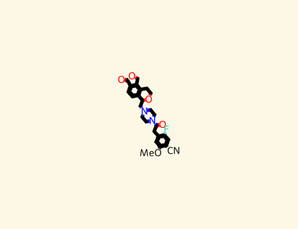 COc1cc(CC(=O)N2CCN(CC3OCCc4c3ccc3c4COC3=O)CC2)c(F)cc1C#N